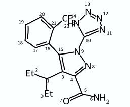 CCC(CC)c1c(C(N)=O)nn(-c2nnn[nH]2)c1-c1ccccc1C(F)(F)F